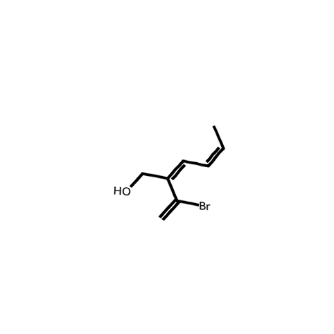 C=C(Br)/C(=C\C=C/C)CO